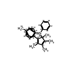 CC1=C(C)C(C)([SiH](c2ccccc2)c2ccccc2)C(c2ccc(C)cc2)=C1C